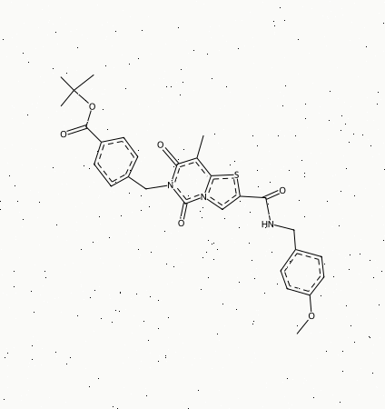 COc1ccc(CNC(=O)c2cn3c(=O)n(Cc4ccc(C(=O)OC(C)(C)C)cc4)c(=O)c(C)c3s2)cc1